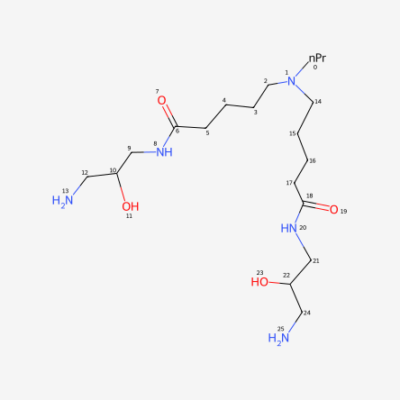 CCCN(CCCCC(=O)NCC(O)CN)CCCCC(=O)NCC(O)CN